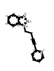 C(#Cc1ccccn1)CCn1nnc2ccccc21